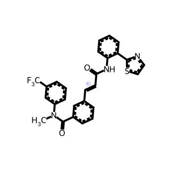 CN(C(=O)c1cccc(/C=C/C(=O)Nc2ccccc2-c2nccs2)c1)c1cccc(C(F)(F)F)c1